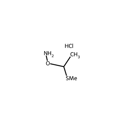 CSC(C)ON.Cl